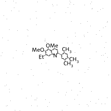 CCc1cc2nc(-c3cc(C)c(C)cc3C)ccc2c(OC)c1OC